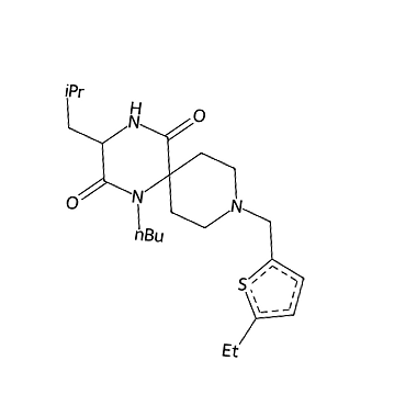 CCCCN1C(=O)C(CC(C)C)NC(=O)C12CCN(Cc1ccc(CC)s1)CC2